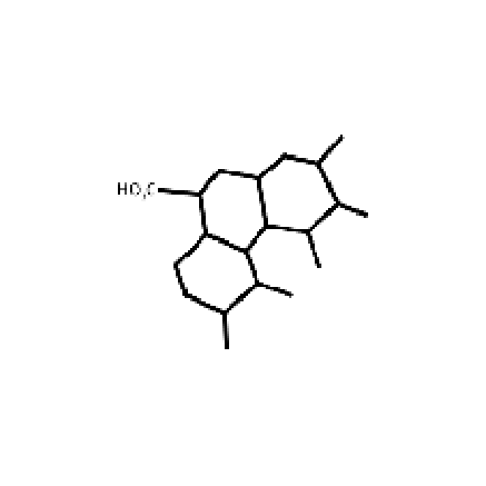 CC1CC2CC(C(=O)O)C3CCC(C)C(C)C3C2C(C)C1C